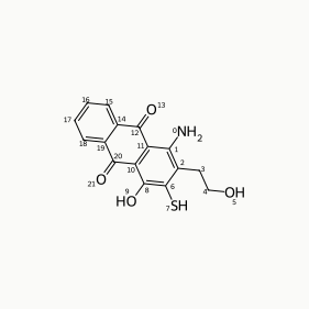 Nc1c(CCO)c(S)c(O)c2c1C(=O)c1ccccc1C2=O